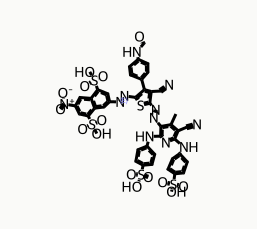 Cc1c(C#N)c(Nc2ccc(S(=O)(=O)O)cc2)nc(Nc2ccc(S(=O)(=O)O)cc2)c1N=Nc1sc(/N=N/c2cc(S(=O)(=O)O)c3cc([N+](=O)[O-])cc(S(=O)(=O)O)c3c2)c(-c2ccc(NC=O)cc2)c1C#N